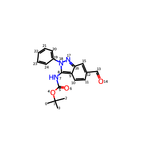 CC(C)(C)OC(=O)Nc1c2ccc(C=O)cc2nn1-c1ccccc1